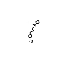 Cc1sc(-c2csc(Nc3ccc(-n4ccnc4)cc3)n2)nc1-c1ccccc1